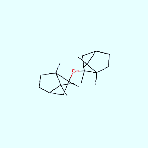 CC1(OC2(C)CC3CCC2(C)C3(C)C)CC2CCC1(C)C2(C)C